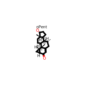 CCCCCO[C@H]1CC[C@H]2[C@@H]3[C@H](C)CC4=CC(=O)[C@@H]5C[C@@H]5[C@]4(C)[C@H]3CC[C@]12C